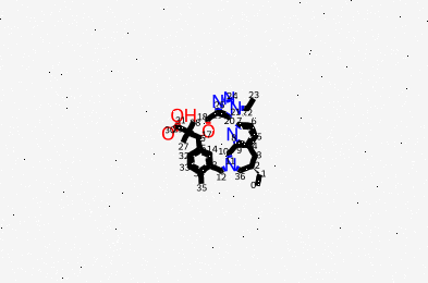 CC[C@H]1Cc2cccnc2CN(Cc2cc([C@@H](OCc3cn(CC)nn3)C(C)(C)C(=O)O)ccc2C)C1